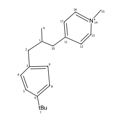 CC(Cc1ccc(C(C)(C)C)cc1)Cc1cc[n+](C)cc1